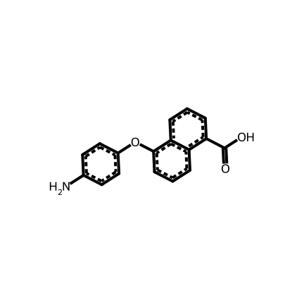 Nc1ccc(Oc2cccc3c(C(=O)O)cccc23)cc1